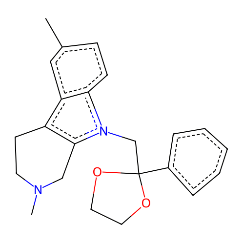 Cc1ccc2c(c1)c1c(n2CC2(c3ccccc3)OCCO2)CN(C)CC1